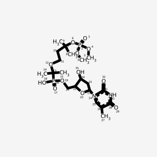 COP(=O)(OC)OC(C)(C)CCOC(C)(C)P(=O)(O)OCC1OC(n2cc(C)c(=O)[nH]c2=O)CC1O